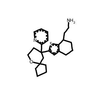 NCCC1CCCc2cc(C3(c4ccccn4)CCOC4(CCCC4)C3)sc21